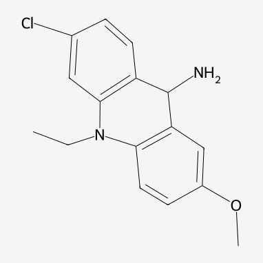 CCN1c2ccc(OC)cc2C(N)c2ccc(Cl)cc21